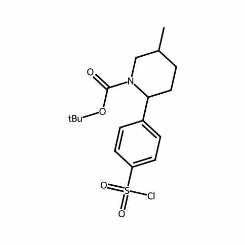 CC1CCC(c2ccc(S(=O)(=O)Cl)cc2)N(C(=O)OC(C)(C)C)C1